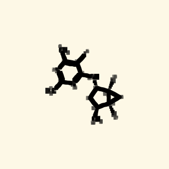 Cc1nc(C)c(I)c(N[C@H]2C[C@H](C)[C@@H]3C[C@@H]32)n1